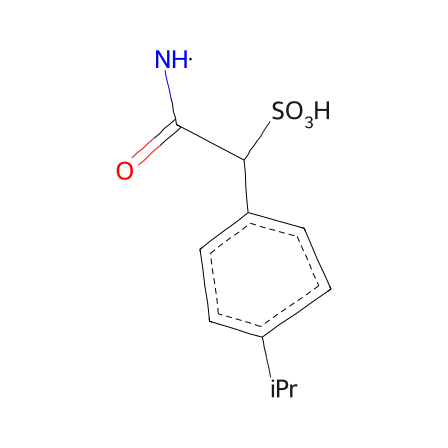 CC(C)c1ccc(C(C([NH])=O)S(=O)(=O)O)cc1